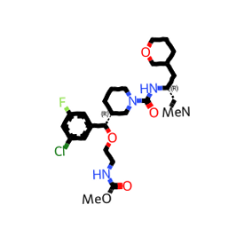 CNC[C@@H](CC1CCCOC1)NC(=O)N1CCC[C@@H](C(OCCNC(=O)OC)c2cc(F)cc(Cl)c2)C1